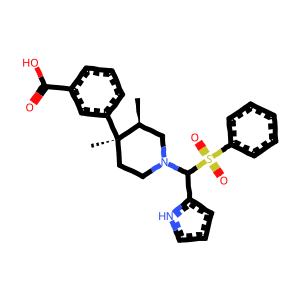 C[C@H]1CN(C(c2ccc[nH]2)S(=O)(=O)c2ccccc2)CC[C@@]1(C)c1cccc(C(=O)O)c1